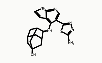 Nc1nnc(-c2cnc3[nH]ccc3c2NC2C3CC4CC2CC(O)(C4)C3)s1